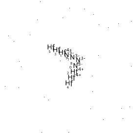 [Hf+4].[Hf+4].[Hf+4].[Hf].[Hf].[Hf].[N-3].[N-3].[N-3].[N-3]